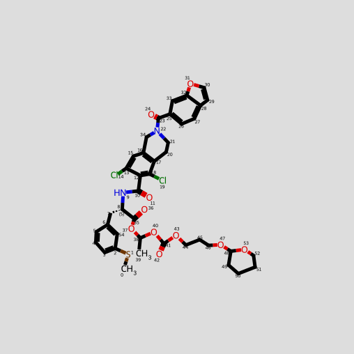 CSc1cccc(C[C@H](NC(=O)c2c(Cl)cc3c(c2Cl)CCN(C(=O)c2ccc4ccoc4c2)C3)C(=O)OC(C)OC(=O)OCCCOC2CCCCO2)c1